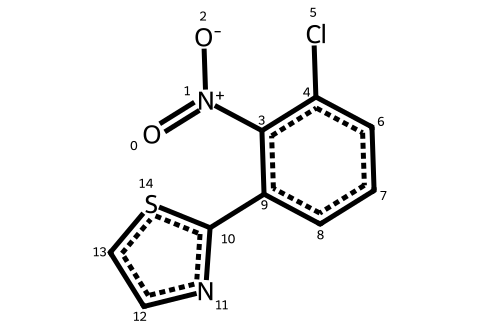 O=[N+]([O-])c1c(Cl)cccc1-c1nccs1